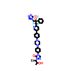 CCC(C(C)O)n1ncn(-c2ccc(N3CCN(c4ccc(-c5ccc(C(F)(F)C(O)(Cn6cnnn6)c6ccccc6F)nc5)cc4)CC3)cc2)c1=O